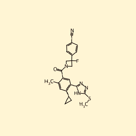 CSc1nnc(-c2cc(C(=O)N3CC(F)(c4ccc(C#N)cc4)C3)c(C)cc2C2CC2)[nH]1